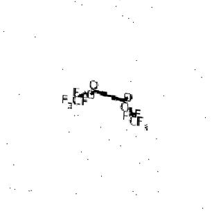 O=C(C#CC#CC(=O)OCC(F)(F)C(F)(F)F)OCC(F)(F)C(F)(F)F